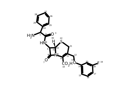 NC(C(=O)NC1C(=O)N2C(C(=O)O)=C(COc3cccc(F)c3)CS[C@@H]12)c1ccccc1